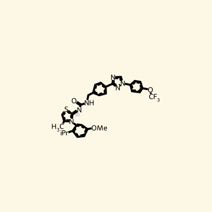 COc1ccc(C(C)C)c(-n2c(C)cs/c2=N\C(=O)NCc2ccc(-c3ncn(-c4ccc(OC(F)(F)F)cc4)n3)cc2)c1